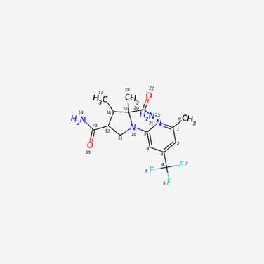 Cc1cc(C(F)(F)F)cc(N2CC(C(N)=O)C(C)C2(C)C(N)=O)n1